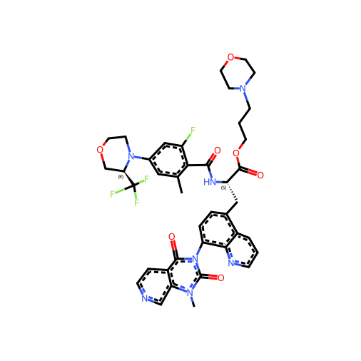 Cc1cc(N2CCOC[C@@H]2C(F)(F)F)cc(F)c1C(=O)N[C@@H](Cc1ccc(-n2c(=O)c3ccncc3n(C)c2=O)c2ncccc12)C(=O)OCCCN1CCOCC1